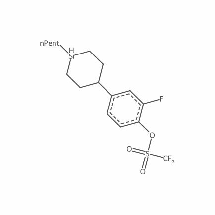 CCCCC[SiH]1CCC(c2ccc(OS(=O)(=O)C(F)(F)F)c(F)c2)CC1